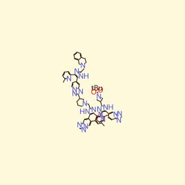 Cc1cccc(-c2nc(CN3CCc4ccccc4C3)[nH]c2-c2ccn3nc(C4CCCN(Cc5nc(-c6cccc(C)n6)c(-c6cc7ncnn7cc6-c6cc(C)nc(-c7nc(C8CN(C(=O)OC(C)(C)C)C8)[nH]c7-c7ccc8ncnn8c7)c6)[nH]5)C4)nc3c2)n1